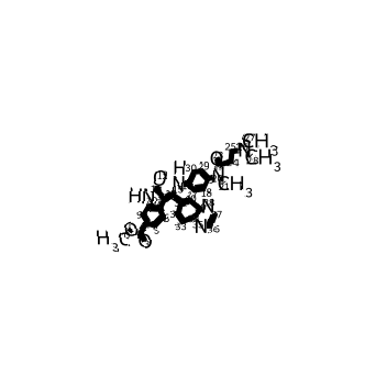 COC(=O)c1ccc2c(c1)NC(=O)/C2=C(\Nc1ccc(N(C)C(=O)CCN(C)C)cc1)c1ccc2nccnc2c1